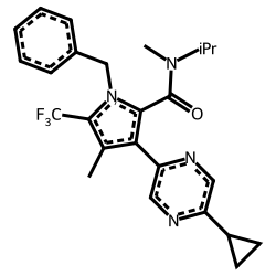 Cc1c(-c2cnc(C3CC3)cn2)c(C(=O)N(C)C(C)C)n(Cc2ccccc2)c1C(F)(F)F